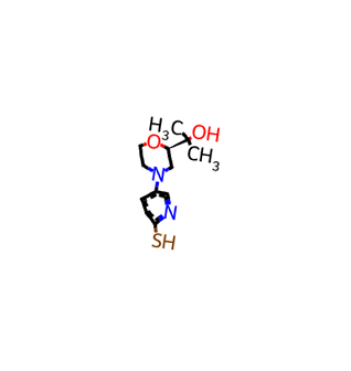 CC(C)(O)[C@H]1CN(c2ccc(S)nc2)CCO1